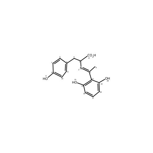 C/C(=N\C(Cc1ccc(O)cc1)C(=O)O)c1c(O)cccc1O